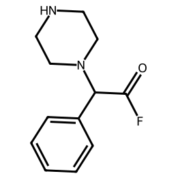 O=C(F)C(c1ccccc1)N1CCNCC1